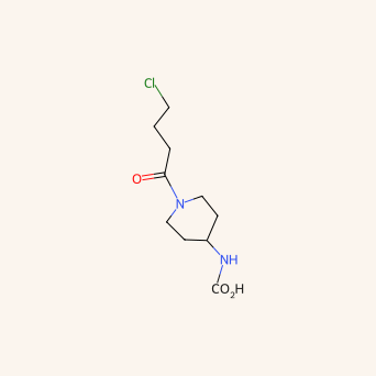 O=C(O)NC1CCN(C(=O)CCCCl)CC1